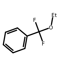 CCOC(F)(F)c1ccccc1